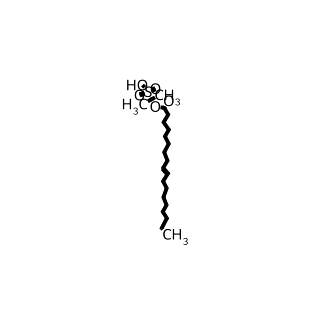 CCCCCCCCC=CCCCCCCCC(=O)OC(C)(C)S(=O)(=O)O